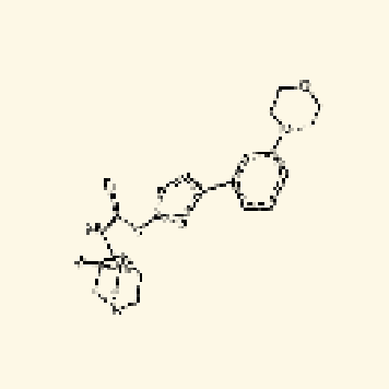 O=C(N[C@H]1CN2CCC1CC2)Oc1ccc(-c2cccc(N3CCOCC3)c2)s1